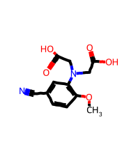 COc1ccc(C#N)cc1N(CC(=O)O)CC(=O)O